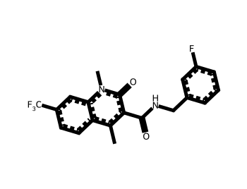 Cc1c(C(=O)NCc2cccc(F)c2)c(=O)n(C)c2cc(C(F)(F)F)ccc12